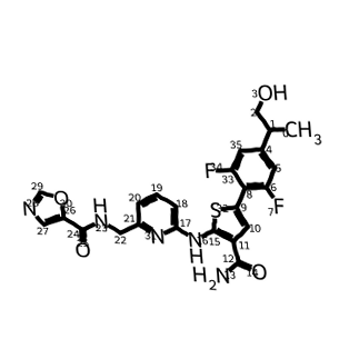 CC(CO)c1cc(F)c(-c2cc(C(N)=O)c(Nc3cccc(CNC(=O)c4cnco4)n3)s2)c(F)c1